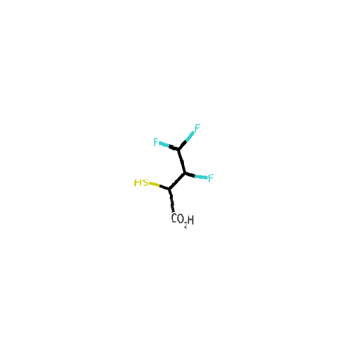 O=C(O)C(S)C(F)C(F)F